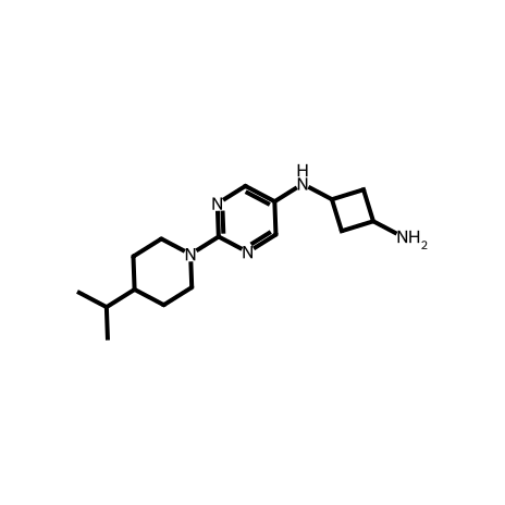 CC(C)C1CCN(c2ncc(NC3CC(N)C3)cn2)CC1